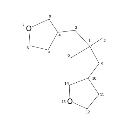 CC(C)([CH]C1CCOC1)CC1CCOC1